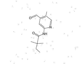 CCC(C)(C)C(=O)Nc1cc(C=O)c(C)cn1